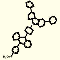 COc1ccc(-c2c3ccccc3c(-c3ccc(-n4c5ccc(-c6ccccc6)cc5c5cc(-c6ccccc6)ccc54)cc3)c3ccccc23)cc1